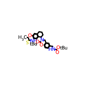 CC1Oc2cc3c(cc2NC1=S)C(N(Cc1cccc(CNC(=O)OC(C)(C)C)c1)C(=O)OC(C)(C)C)CCC3